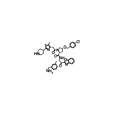 Cc1sc(C2CCNCC2)nc1CC(=O)N1C[C@H](OCc2ccc(Cl)cc2)C[C@H]1C(=O)N[C@@H](Cc1cccc(CN)c1)C(=O)c1nc2ccccc2o1